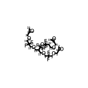 FC(F)(COCC1CO1)COCC(COCC(F)(F)COCC1CO1)C(F)(F)OC(F)(F)CCOCC1CO1